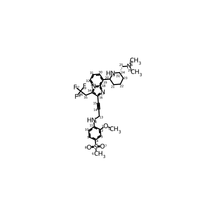 COc1cc(S(C)(=O)=O)ccc1NCC#Cc1nc2c(C3CCC[C@@H](CN(C)C)N3)cccn2c1CC(F)(F)F